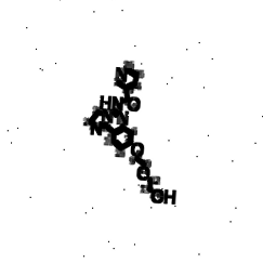 O=C(NC1=Nc2cc(OCCOCCO)ccc2C2=NCCN12)c1cccnc1